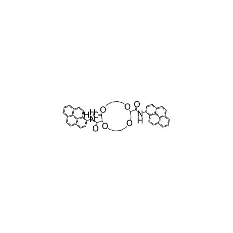 C=C1OCCCCOC(C(=O)Nc2ccc3ccc4cccc5ccc2c3c45)COCCCCOC1C(=O)Nc1ccc2ccc3cccc4ccc1c2c34